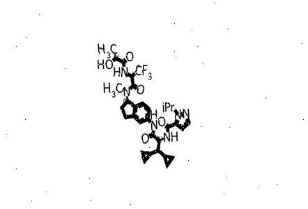 CC(C)n1nccc1C(=O)N[C@H](C(=O)Nc1ccc2c(c1)CC[C@H]2N(C)C(=O)C(NC(=O)[C@@H](C)O)C(F)(F)F)C(C1CC1)C1CC1